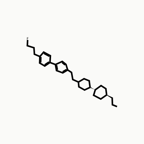 CCC[C@H]1CC[C@H](C2CCC(CCc3ccc(-c4ccc(CCCF)cc4)cc3)CC2)CC1